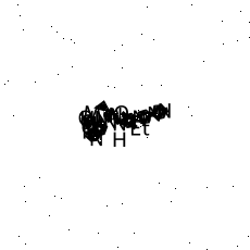 CCc1cc(Nc2ncc(C3CC3)c(Nc3ccc4nccnc4c3N(C)S(C)(=O)=O)n2)c(OC)cc1N1CCC(N2CCN(C)CC2)CC1